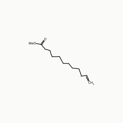 C=C[CH]CCCCCCCCC(=O)OC